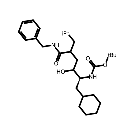 CC(C)CC(CC(O)[C@H](CC1CCCCC1)NC(=O)OC(C)(C)C)C(=O)NCc1ccccc1